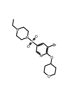 CCN1CCN(S(=O)(=O)c2cnc(OC3CCOCC3)c(Br)c2)CC1